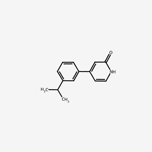 CC(C)c1cccc(-c2cc[nH]c(=O)c2)c1